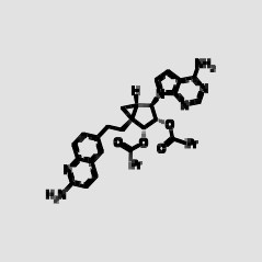 CC(C)C(=O)O[C@H]1[C@H](n2ccc3c(N)ncnc32)[C@H]2C[C@@]2(CCc2ccc3nc(N)ccc3c2)[C@H]1OC(=O)C(C)C